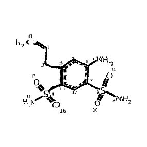 C=CCc1cc(N)c(S(N)(=O)=O)cc1S(N)(=O)=O